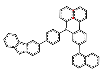 c1ccc(-c2ccc(-c3cccc4ccccc34)cc2N(c2ccccc2)c2ccc(-c3ccc4oc5ccccc5c4c3)cc2)cc1